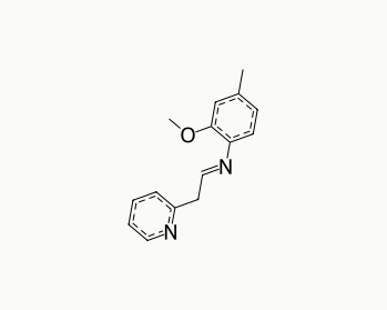 COc1cc(C)ccc1N=CCc1ccccn1